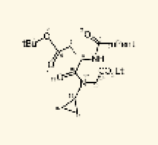 CCCCCC(=O)N[C@@H](CC(=O)OC(C)(C)C)C(=O)N(CC(=O)OCC)C1CC1